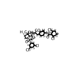 CC1(C)CCN(S(=O)(=O)c2cc(Cl)cc(Cl)c2)[C@@H]1C(=O)N[C@@H](Cc1ccc(NC(=O)c2c(Cl)cncc2Cl)cc1)C(=O)O